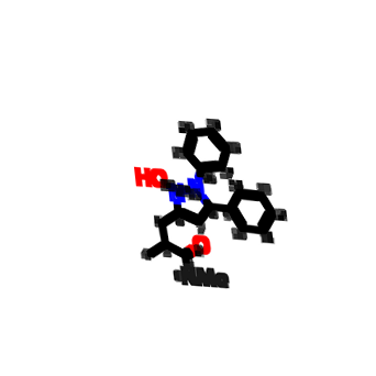 CNC(=O)C(C)CC1=CC(c2ccccc2)N(c2ccccc2)N1O